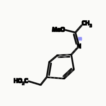 CO/C(C)=N\c1ccc(CC(=O)O)cc1